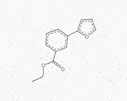 CCOC(=O)c1cccc(-c2ccco2)c1